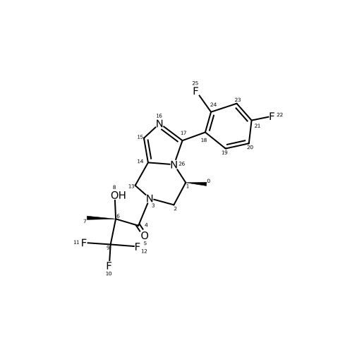 C[C@H]1CN(C(=O)[C@@](C)(O)C(F)(F)F)Cc2cnc(-c3ccc(F)cc3F)n21